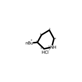 CCCCC1CCCNC1.Cl